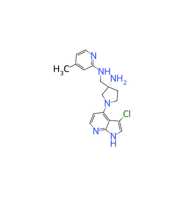 Cc1ccnc(NC[C@@]2(N)CCN(c3ccnc4[nH]cc(Cl)c34)C2)c1